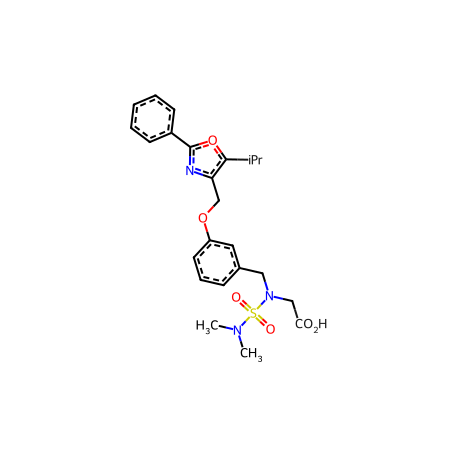 CC(C)c1oc(-c2ccccc2)nc1COc1cccc(CN(CC(=O)O)S(=O)(=O)N(C)C)c1